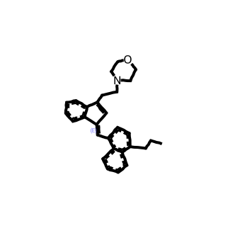 CCCc1ccc(/C=C2\C=C(CCN3CCOCC3)c3ccccc32)c2ccccc12